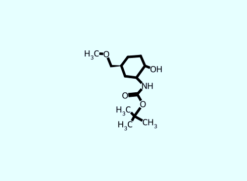 COC[C@H]1CCC(O)C(NC(=O)OC(C)(C)C)C1